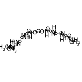 CN(C)CCNC(=O)c1ccc(-c2nc3ccc(-c4ccc5nc(-c6ccc(C(=O)NCCCOCCOCCOCCCNC(=O)c7ccc(-c8nc9ccc(-c%10ccc%11nc(-c%12ccc(C(=O)NCCN(C)C)cc%12)[nH]c%11c%10)cc9[nH]8)cc7)cc6)[nH]c5c4)cc3[nH]2)cc1